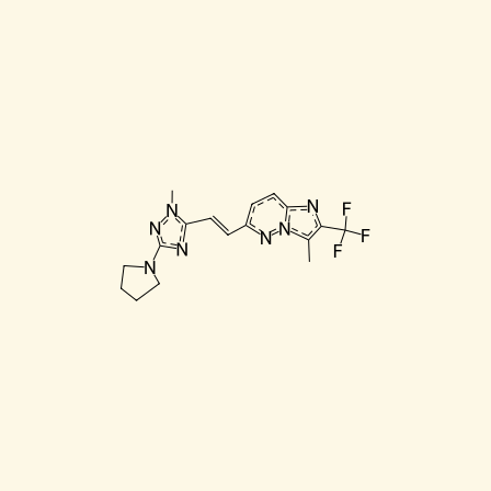 Cc1c(C(F)(F)F)nc2ccc(C=Cc3nc(N4CCCC4)nn3C)nn12